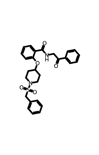 O=C(CNC(=O)c1ccccc1OC1CCN(S(=O)(=O)Cc2ccccc2)CC1)c1ccccc1